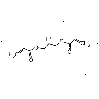 C=CC(=O)OCCCOC(=O)C=C.[H+]